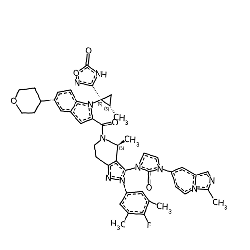 Cc1cc(-n2nc3c(c2-n2ccn(-c4ccn5c(C)ncc5c4)c2=O)[C@H](C)N(C(=O)c2cc4cc(C5CCOCC5)ccc4n2[C@@]2(c4noc(=O)[nH]4)C[C@@H]2C)CC3)cc(C)c1F